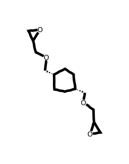 C(OC[C@H]1CC[C@@H](COCC2CO2)CC1)C1CO1